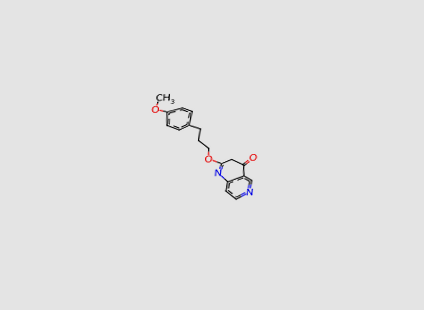 COc1ccc(CCCOC2=Nc3ccncc3C(=O)C2)cc1